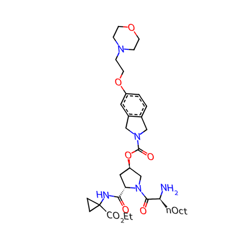 CCCCCCCC[C@H](N)C(=O)N1C[C@H](OC(=O)N2Cc3ccc(OCCN4CCOCC4)cc3C2)C[C@H]1C(=O)NC1(C(=O)OCC)CC1